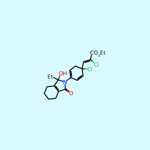 CCOC(=O)C(Cl)=CC1(Cl)C=CC(N2C(=O)C3=C(CCCC3)C2(O)CC)=CC1